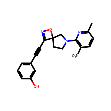 Cc1ccc([N+](=O)[O-])c(N2CCC3(C2)ON=C3C#Cc2cccc(O)c2)n1